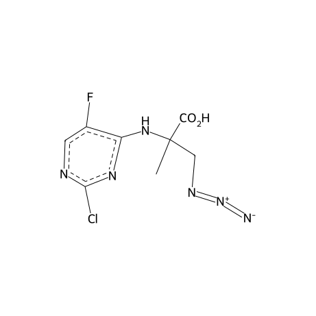 CC(CN=[N+]=[N-])(Nc1nc(Cl)ncc1F)C(=O)O